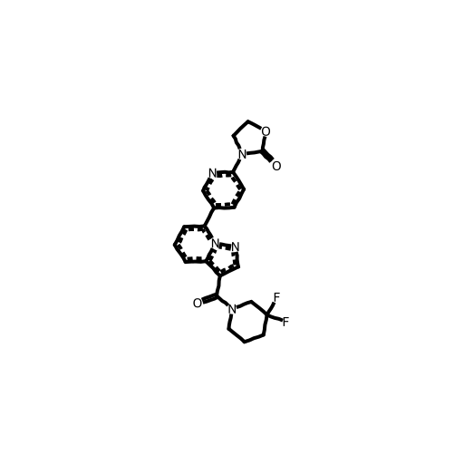 O=C(c1cnn2c(-c3ccc(N4CCOC4=O)nc3)cccc12)N1CCCC(F)(F)C1